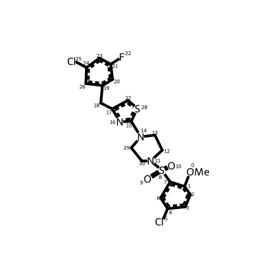 COc1ccc(Cl)cc1S(=O)(=O)N1CCN(c2nc(Cc3cc(F)cc(Cl)c3)cs2)CC1